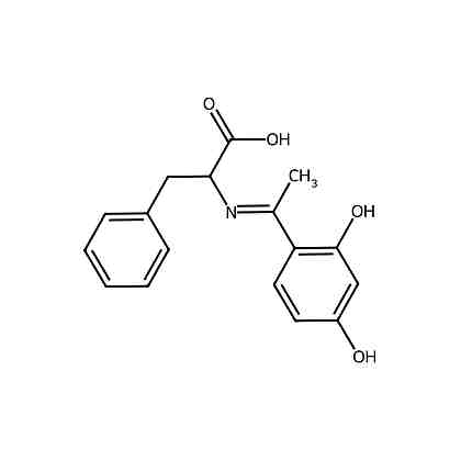 CC(=NC(Cc1ccccc1)C(=O)O)c1ccc(O)cc1O